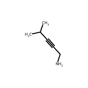 CC(C)C#CCN